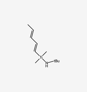 CC=CC=[CH][Ti]([CH3])([CH3])[NH]C(C)(C)C